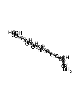 BC1CCC(COP(O)OCCOCCOCCOCCNC(=O)CCSCC(=O)NCCC(=O)NCCCCCCOP(=O)(O)O)O1